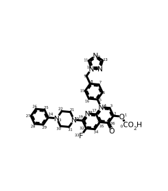 O=C(O)Oc1cn(-c2ccc(Cn3cncn3)cc2)c2nc(N3CCN(c4ccccc4)CC3)c(F)cc2c1=O